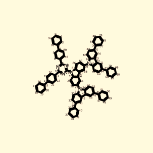 c1ccc(-c2ccc(-c3nc(-c4ccc(-c5ccccc5)cc4)nc(-n4c5ccc(-n6c7ccc(-c8ccccc8)cc7c7cc(-c8ccccc8)ccc76)cc5c5cc(-n6c7ccc(-c8ccccc8)cc7c7cc(-c8ccccc8)ccc76)ccc54)n3)cc2)cc1